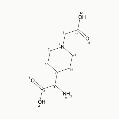 NC(C(=O)O)C1CCN(CC(=O)O)CC1